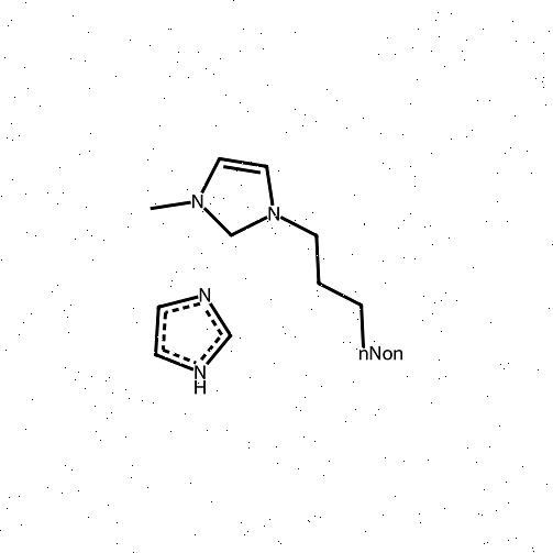 CCCCCCCCCCCCN1C=CN(C)C1.c1c[nH]cn1